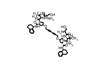 CC(C)(C)[C@H](NC(=O)[C@@H](N)CO)C(=O)N1C[C@@H](OCC#CC#CCO[C@H]2C[C@@H](C(=O)N[C@@H]3CCCc4ccccc43)N(C(=O)[C@@H](NC(=O)[C@@H](N)CO)C(C)(C)C)C2)C[C@H]1C(=O)N[C@@H]1CCCc2ccccc21